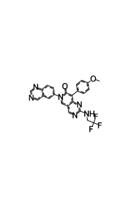 COc1ccc(-c2c(=O)n(-c3ccc4ncncc4c3)cc3cnc(NCC(F)(F)F)nc23)cc1